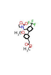 COC(=O)Cc1ccc(OC)c(-c2ccc(C(F)(F)F)cc2CN2CCOC2=O)c1